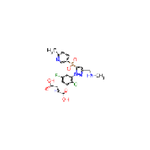 CNCc1cc(S(=O)(=O)c2ccc(C)nc2)n(-c2cc(F)ccc2Cl)n1.O=C(O)/C=C/C(=O)O